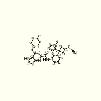 CC1CCN(Cc2cc(C(=O)Nc3cccc(C4(c5nncn5C)CC(CC#N)C4)c3)nc3cc[nH]c23)CC1